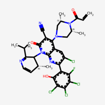 C=CC(=O)N1[C@H](C)CN(c2c(C#N)c(=O)n(C3C(C(C)C)=NC=C[C@H]3C)c3nc(-c4c(O)c(Cl)c(Cl)c(Cl)c4F)c(Cl)cc23)C[C@@H]1C